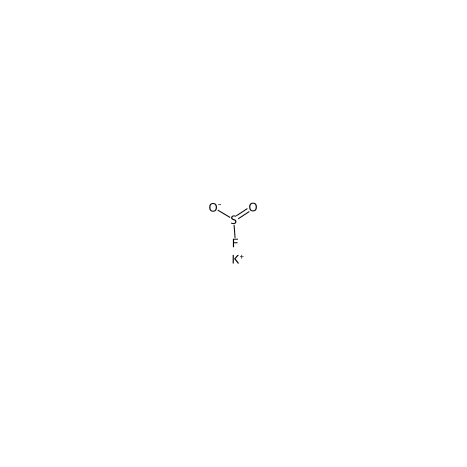 O=S([O-])F.[K+]